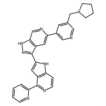 c1ccc(-c2nccc3[nH]c(-c4n[nH]c5cnc(-c6cncc(CN7CCCC7)c6)cc45)cc23)nc1